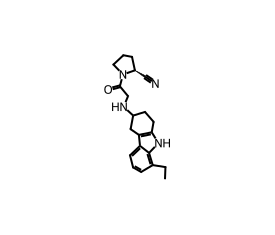 CCc1cccc2c3c([nH]c12)CCC(NCC(=O)N1CCC[C@H]1C#N)C3